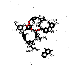 CN[C@H](CC(C)C)C(=O)N[C@H]1C(=O)N[C@@H](CC(N)=O)C(=O)N[C@H]2C(=O)N[C@H]3C(=O)N[C@H](C(=O)N[C@@H](C(=O)O)c4cc(O)cc(O)c4-c4cc3ccc4O)[C@H](O)c3ccc(c(Cl)c3)Oc3cc2cc(c3O[C@@H]2O[C@H](CO)[C@@H](O)[C@H](O)[C@H]2O[C@H]2C[C@](C)(N)C(O)[C@H](C)O2)Oc2ccc(cc2Cl)[C@H]1O.Oc1c(I)cc(I)c2cccnc12